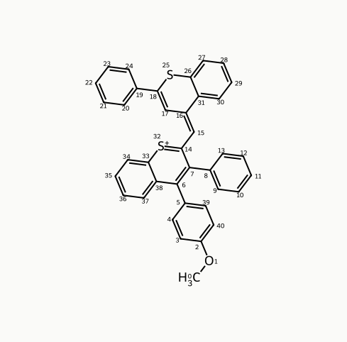 COc1ccc(-c2c(-c3ccccc3)c(C=C3C=C(c4ccccc4)Sc4ccccc43)[s+]c3ccccc23)cc1